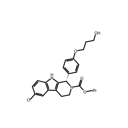 CC(C)OC(=O)N1CCc2c([nH]c3ccc(Cl)cc23)[C@@H]1c1ccc(OCCCO)cc1